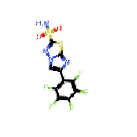 NS(=O)(=O)c1nn2cc(-c3c(F)c(F)c(F)c(F)c3F)nc2s1